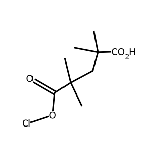 CC(C)(CC(C)(C)C(=O)OCl)C(=O)O